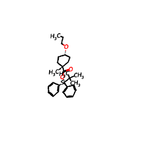 CCCO[C@H]1CC[C@@](C)(C(=O)O[Si](c2ccccc2)(c2ccccc2)C(C)(C)C)CC1